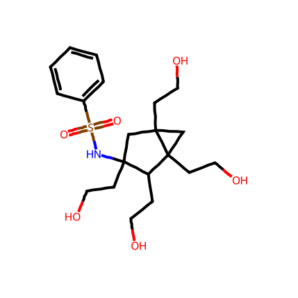 O=S(=O)(NC1(CCO)CC2(CCO)CC2(CCO)C1CCO)c1ccccc1